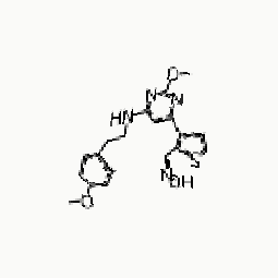 COc1ccc(CCNc2cc(-c3ccsc3/C=N\O)nc(OC)n2)cc1